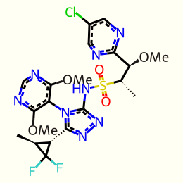 COc1ncnc(OC)c1-n1c(NS(=O)(=O)[C@@H](C)[C@H](OC)c2ncc(Cl)cn2)nnc1[C@H]1[C@H](C)C1(F)F